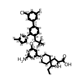 CCC1NC(C(=O)O)CC12CCN(c1cc(O[C@H](c3ccc(-c4cc(F)cc(Cl)c4)cc3-n3ccc(C)n3)C(F)(F)F)nc(N)n1)CC2